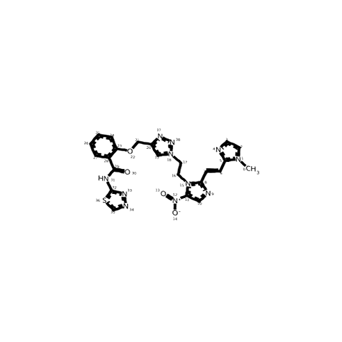 Cn1ccnc1/C=C/c1ncc([N+](=O)[O-])n1CCn1cc(COc2ccccc2C(=O)Nc2nncs2)nn1